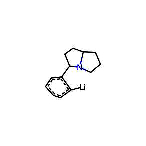 [Li][c]1ccccc1C1CCC2CCCN21